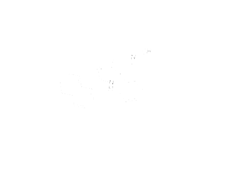 CN1CCCC(NC(=O)c2cccc3ccccc23)(c2ccccc2)C1